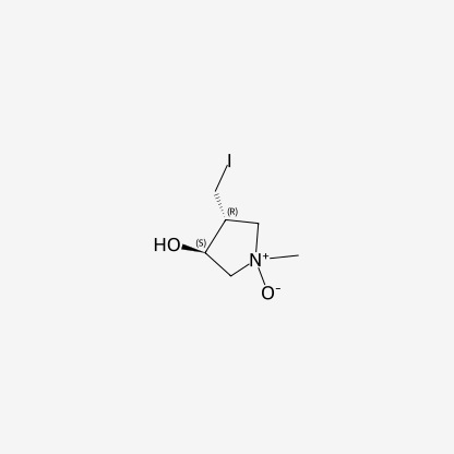 C[N+]1([O-])C[C@@H](CI)[C@H](O)C1